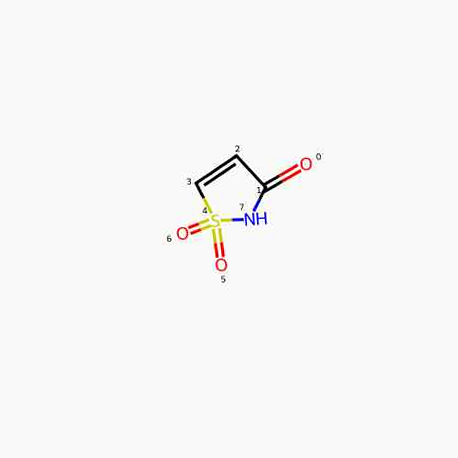 O=C1C=CS(=O)(=O)N1